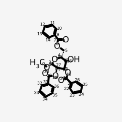 CO[C@@H]1O[C@H](COC(=O)c2ccccc2)[C@H](O)[C@H](OC(=O)c2ccccc2)[C@H]1OC(=O)c1ccccc1